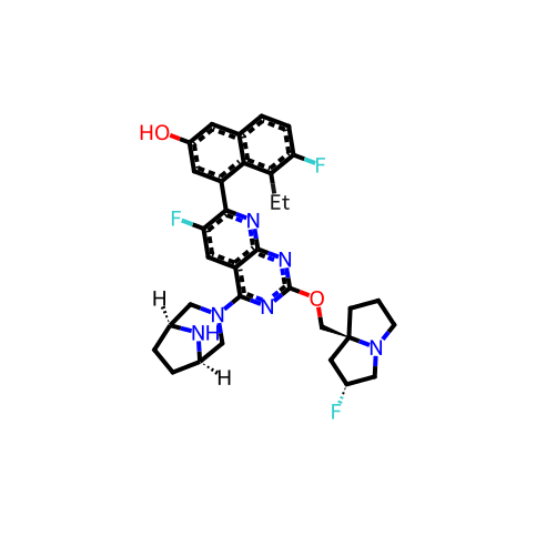 CCc1c(F)ccc2cc(O)cc(-c3nc4nc(OC[C@@]56CCCN5C[C@H](F)C6)nc(N5C[C@H]6CC[C@@H](C5)N6)c4cc3F)c12